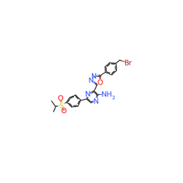 CC(C)S(=O)(=O)c1ccc(-c2cnc(N)c(-c3nnc(-c4ccc(CBr)cc4)o3)n2)cc1